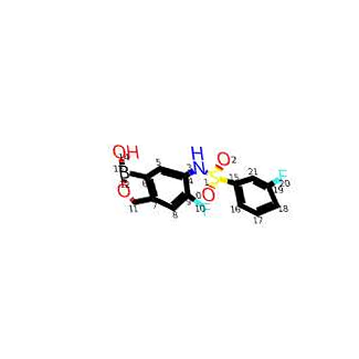 O=S(=O)(Nc1cc2c(cc1F)COB2O)c1cccc(F)c1